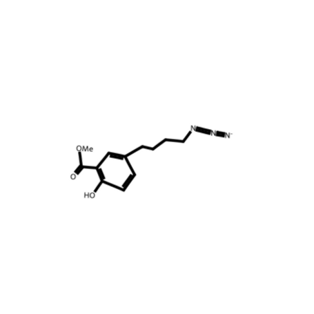 COC(=O)c1cc(CCCCN=[N+]=[N-])ccc1O